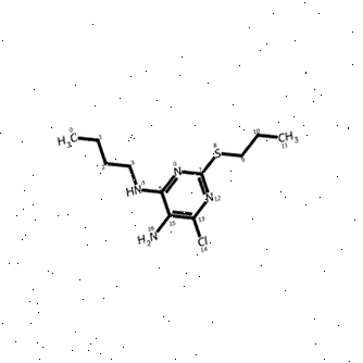 CCCCNc1nc(SCCC)nc(Cl)c1N